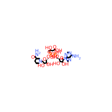 CC(O)CC(=O)O.NC(=O)C1=CN([C@@H]2O[C@H](COP(=O)(O)OP(=O)(O)OC[C@H]3O[C@@H](n4cnc5c(N)ncnc54)[C@H](O)[C@@H]3O)[C@@H](O)[C@H]2O)C=CC1